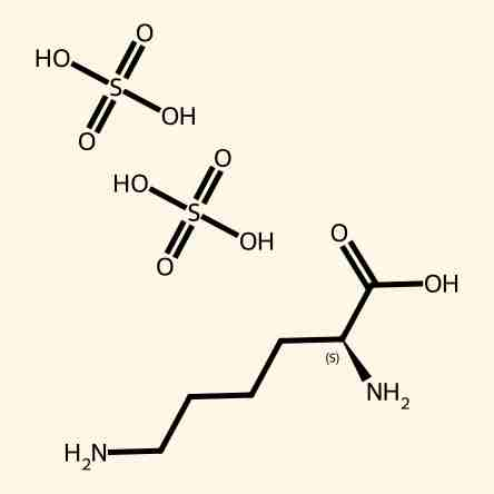 NCCCC[C@H](N)C(=O)O.O=S(=O)(O)O.O=S(=O)(O)O